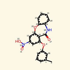 Cc1cccc(Oc2cc([N+](=O)O)cc3c2C(=O)Nc2ccccc2O3)c1